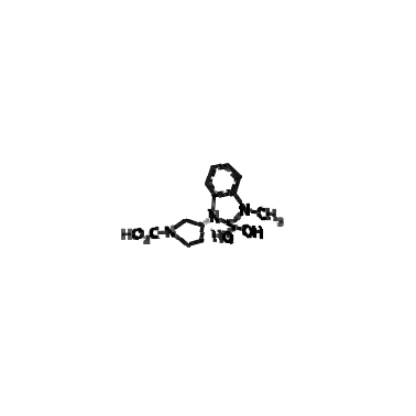 CN1c2ccccc2N([C@@H]2CCN(C(=O)O)C2)S1(O)O